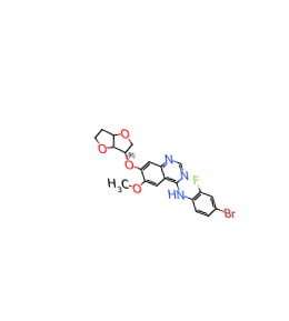 COc1cc2c(Nc3ccc(Br)cc3F)ncnc2cc1O[C@@H]1COC2CCOC21